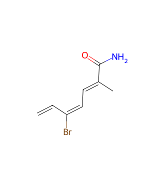 C=C/C(Br)=C\C=C(/C)C(N)=O